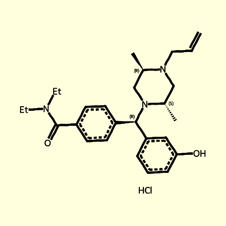 C=CCN1C[C@H](C)N([C@H](c2ccc(C(=O)N(CC)CC)cc2)c2cccc(O)c2)C[C@H]1C.Cl